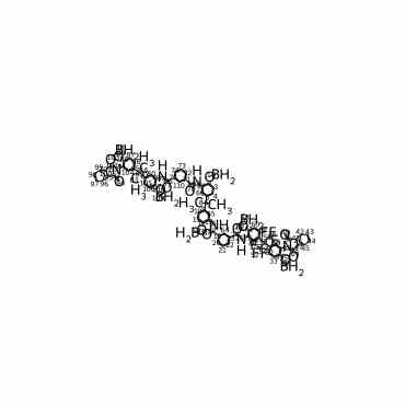 BOc1ccc(C(C)(C)c2ccc(OB)c(NC(=O)c3cccc(C(=O)Nc4cc(C(c5ccc(OB)c(N6C(=O)C7C8C=CC(C8)C7C6=O)c5)(C(F)(F)F)C(F)(F)F)ccc4OB)c3)c2)cc1NC(=O)c1cccc(C(=O)Nc2cc(C(C)(C)c3ccc(OB)c(N4C(=O)C5C6C=CC(C6)C5C4=O)c3)ccc2OB)c1